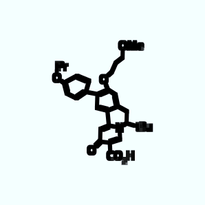 COCCCOc1cc2c(cc1-c1ccc(OC(C)C)cc1)-c1cc(=O)c(C(=O)O)cn1C(C(C)(C)C)C2